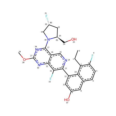 CCc1c(F)ccc2cc(O)cc(-c3ncc4c(N5C[C@H](F)C[C@H]5CO)nc(OC)nc4c3F)c12